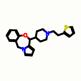 c1csc(CCN2CCC(C3Oc4ccccc4Cn4cccc43)CC2)c1